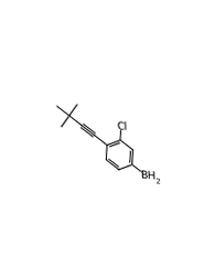 Bc1ccc(C#CC(C)(C)C)c(Cl)c1